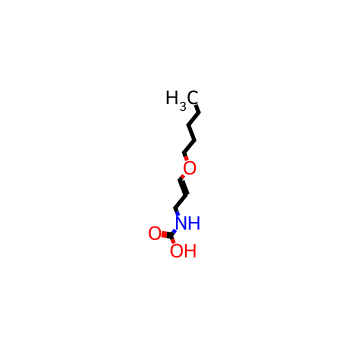 CCCCCOC=CCNC(=O)O